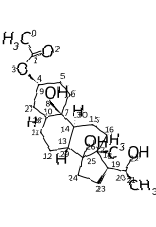 CC(=O)O[C@H]1CC[C@@]2(CO)[C@@H](CC[C@@H]3[C@@H]2CC[C@]2(C)[C@@H]([C@H](C)O)CCC32O)C1